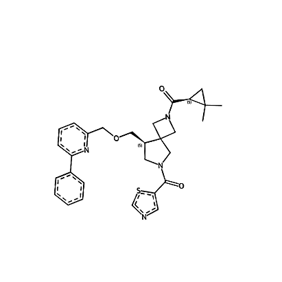 CC1(C)C[C@@H]1C(=O)N1CC2(CN(C(=O)c3cncs3)C[C@H]2COCc2cccc(-c3ccccc3)n2)C1